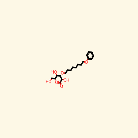 O=C[C@H](O)[C@@H](OCCCCCCCCOc1ccccc1)[C@H](O)[C@H](O)CO